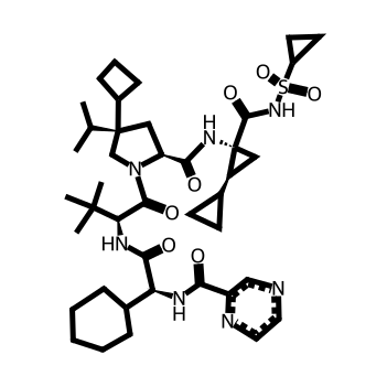 CC(C)[C@@]1(C2CCC2)C[C@@H](C(=O)N[C@]2(C(=O)NS(=O)(=O)C3CC3)C[C@H]2C2CC2)N(C(=O)[C@@H](NC(=O)[C@@H](NC(=O)c2cnccn2)C2CCCCC2)C(C)(C)C)C1